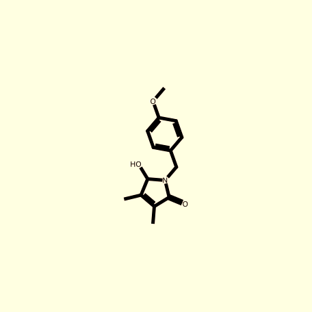 COc1ccc(CN2C(=O)C(C)=C(C)C2O)cc1